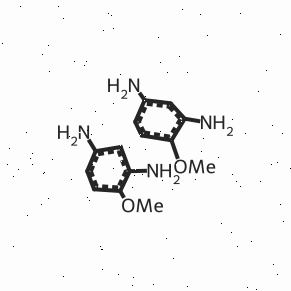 COc1ccc(N)cc1N.COc1ccc(N)cc1N